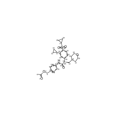 CC(=O)OCc1cnc(NC(=O)[C@H](CC2CCOCC2)c2ccc(S(=O)(=O)C3CC3)c(C3CC3)c2)cn1